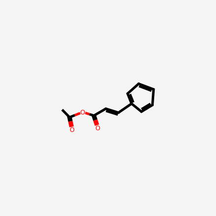 CC(=O)OC(=O)C=Cc1ccccc1